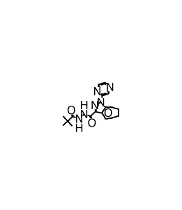 CC(C)(C)C(=O)NNC(=O)C1=NN(c2cnccn2)C2C3CCC(CC12)O3